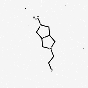 CN1CC2CN(CCF)CC2C1